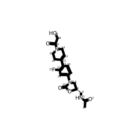 CC(=O)NC[C@H]1CN(c2ccc(C3=CCN(C(=O)CO)CC3)c(F)c2)C(=O)O1